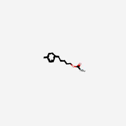 CCCCC(=O)OCCCCCc1ccc(C)cc1